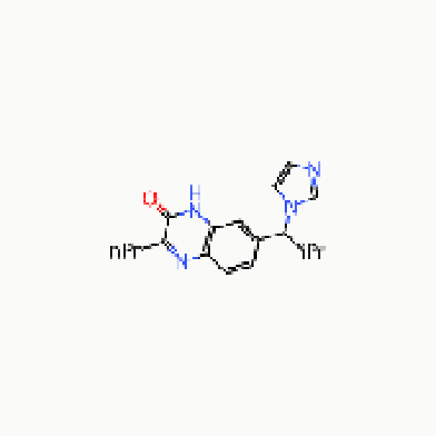 CCCc1nc2ccc(C(C(C)C)n3ccnc3)cc2[nH]c1=O